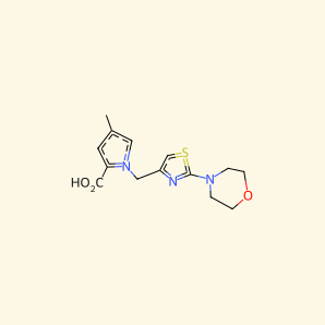 Cc1cc(C(=O)O)n(Cc2csc(N3CCOCC3)n2)c1